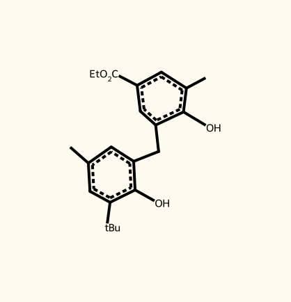 CCOC(=O)c1cc(C)c(O)c(Cc2cc(C)cc(C(C)(C)C)c2O)c1